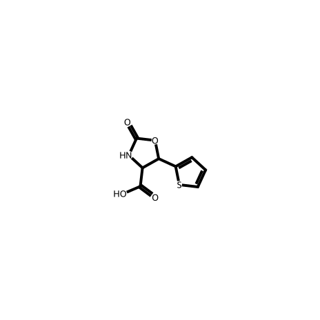 O=C1NC(C(=O)O)C(c2cccs2)O1